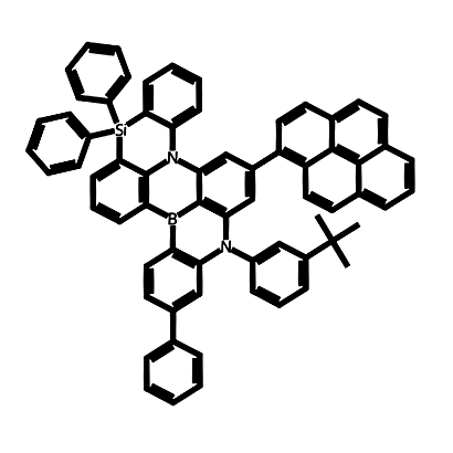 CC(C)(C)c1cccc(N2c3cc(-c4ccccc4)ccc3B3c4cccc5c4N(c4ccccc4[Si]5(c4ccccc4)c4ccccc4)c4cc(-c5ccc6ccc7cccc8ccc5c6c78)cc2c43)c1